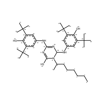 CCCCCCC(C)N1C(S)=NC(Nc2cc(C(C)(C)C)c(O)c(C(C)(C)C)c2)=NC1Nc1cc(C(C)(C)C)c(O)c(C(C)(C)C)c1